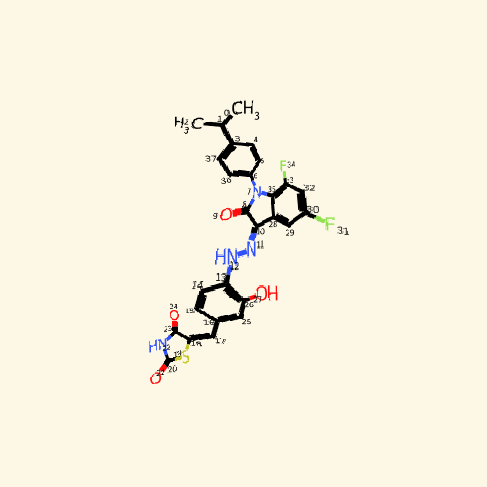 CC(C)c1ccc(N2C(=O)C(=NNc3ccc(C=C4SC(=O)NC4=O)cc3O)c3cc(F)cc(F)c32)cc1